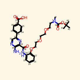 CN(CCOCCOCCOc1ccccc1NC(=O)c1nc(-c2ccc(C(=O)O)cc2)cnc1N)C(=O)OC(C)(C)C